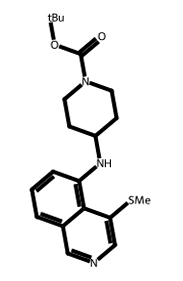 CSc1cncc2cccc(NC3CCN(C(=O)OC(C)(C)C)CC3)c12